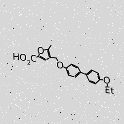 CCOc1ccc(-c2ccc(OCc3cc(C(=O)O)oc3C)cc2)cc1